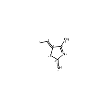 CC=C1SC(=N)N=C1O